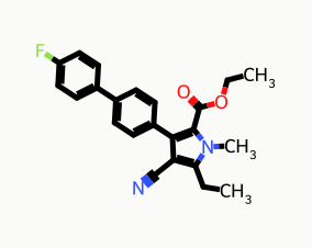 CCOC(=O)c1c(-c2ccc(-c3ccc(F)cc3)cc2)c(C#N)c(CC)n1C